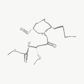 CCC[C@@H]1CC[C@@H](C=O)N1C(=O)[C@H](CC)NC(=O)OC